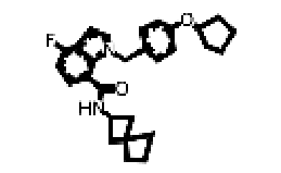 O=C(NC1CC2(CCC2)C1)c1ccc(F)c2ccn(Cc3ccc(OC4CCCC4)cc3)c12